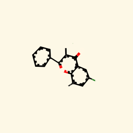 Cc1c(-c2ccccc2)oc2c(C(=O)O)cc(Cl)cc2c1=O.Cl